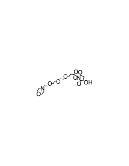 O=C(CCOCCOCCOCCN1CCOCC1)ON1C(=O)CC(O)C1=O